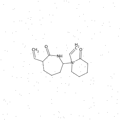 C=CC1CCCC([N+]2(C=C)CCCCC2=O)NC1=O